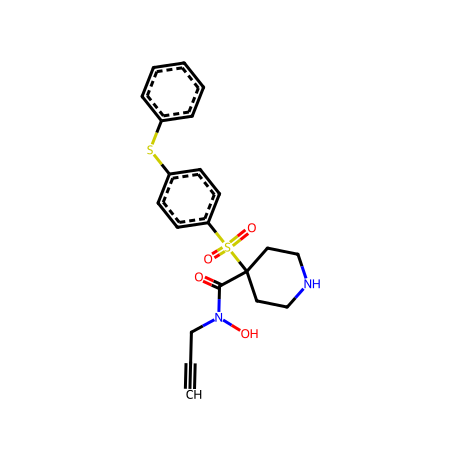 C#CCN(O)C(=O)C1(S(=O)(=O)c2ccc(Sc3ccccc3)cc2)CCNCC1